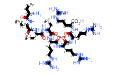 CC(C)C[C@H](NC(=O)[C@H](CC(C)C)NC(=O)[C@H](CC(C)C)NC(=O)[C@@H](N)CC(C)C)C(=O)N[C@@H](CCCNC(=N)N)C(=O)N[C@@H](CCCNC(=N)N)C(=O)N[C@@H](CCCNC(=N)N)C(=O)N[C@@H](CCCNC(=N)N)C(=O)O